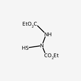 CCOC(=O)NN(S)C(=O)OCC